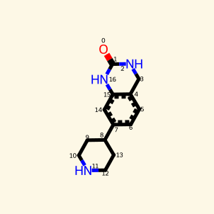 O=C1NCc2ccc(C3CCNCC3)cc2N1